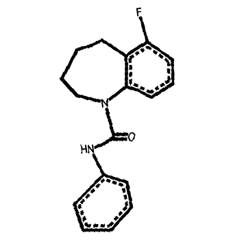 O=C(Nc1ccccc1)N1CCCCc2c(F)cccc21